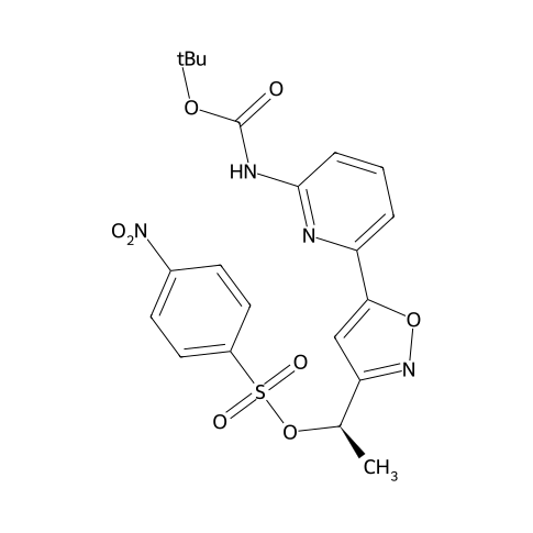 C[C@@H](OS(=O)(=O)c1ccc([N+](=O)[O-])cc1)c1cc(-c2cccc(NC(=O)OC(C)(C)C)n2)on1